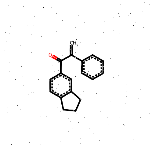 C=C(C(=O)c1ccc2c(c1)CCC2)c1ccccc1